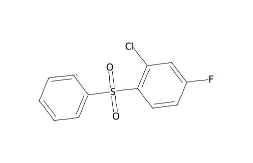 O=S(=O)(c1[c]cccc1)c1ccc(F)cc1Cl